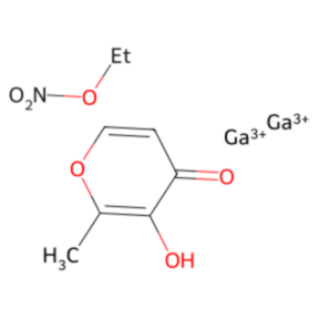 CCO[N+](=O)[O-].Cc1occc(=O)c1O.[Ga+3].[Ga+3]